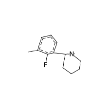 Cc1cccc(C2CCCC[N]2)c1F